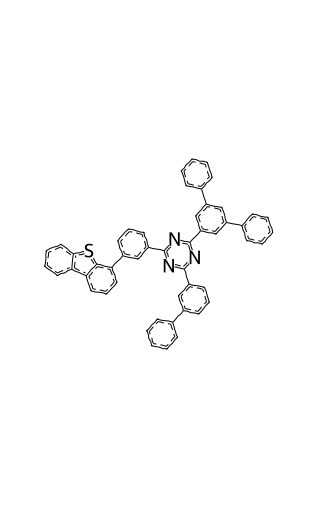 c1ccc(-c2cccc(-c3nc(-c4cc(-c5ccccc5)cc(-c5ccccc5)c4)nc(-c4cccc(-c5cccc6c5sc5ccccc56)c4)n3)c2)cc1